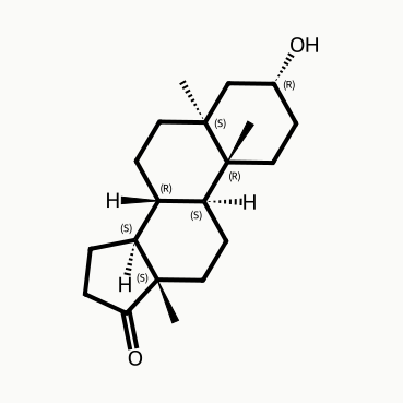 C[C@@]12CC[C@H]3[C@@H]4CCC(=O)[C@@]4(C)CC[C@@H]3[C@@]1(C)CC[C@@H](O)C2